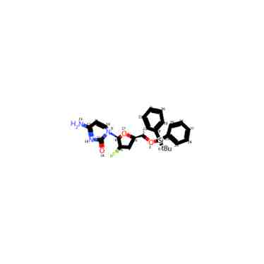 CC(C)(C)[Si](OC[C@H]1CC(F)[C@@H](n2ccc(N)nc2=O)O1)(c1ccccc1)c1ccccc1